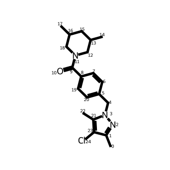 Cc1nn(Cc2ccc(C(=O)N3CC(C)CC(C)C3)cc2)c(C)c1Cl